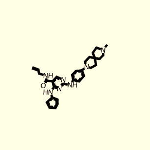 C=CCNC(=O)c1cnc(Nc2ccc(N3CCC4(CCN(C)CC4)CC3)cc2)nc1Nc1ccccc1